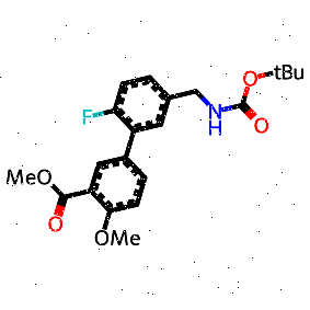 COC(=O)c1cc(-c2cc(CNC(=O)OC(C)(C)C)ccc2F)ccc1OC